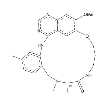 COc1cc2ncnc3c2cc1OCCCNC(=O)[C@H](C)N(C)Cc1ccc(C)cc1N3